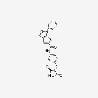 Cc1nn(-c2ccccc2)c2sc(C(=O)Nc3ccc(CN4C(=O)CN(C)C4=O)cc3)cc12